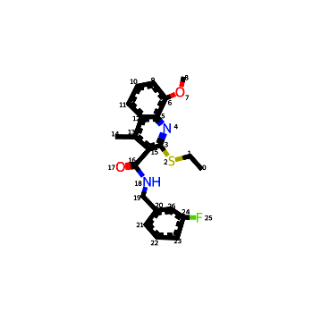 CCSc1nc2c(OC)cccc2c(C)c1C(=O)NCc1cccc(F)c1